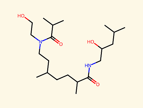 CC(C)CC(O)CNC(=O)C(C)CCC(C)CCN(CCO)C(=O)C(C)C